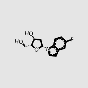 OC[C@H]1O[C@@H](n2ccc3cc(F)ccc32)C[C@@H]1O